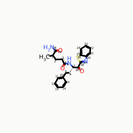 CC(C[CH]C(=O)N[C@@H](CCc1ccccc1)C(=O)c1nc2ccccc2s1)C(N)=O